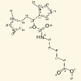 COC(=O)CCCCCNC(=O)OC(Cc1cscc1C)c1cscc1C